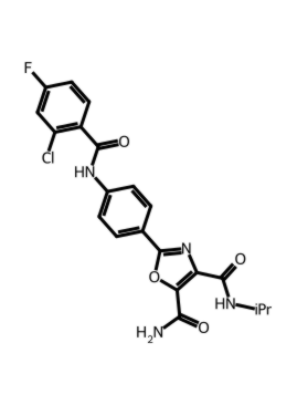 CC(C)NC(=O)c1nc(-c2ccc(NC(=O)c3ccc(F)cc3Cl)cc2)oc1C(N)=O